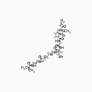 C=CC(=O)N[C@@H](C)C(=O)N1CCC[C@H]1C(=O)NCC(=O)N[C@@H](CCC(C)C)C(=O)NCOCCOCC(=O)NCCCNC(=O)C(=C)C